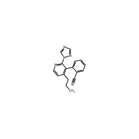 CCCc1ccnc(-n2cncn2)c1-c1ccccc1C#N